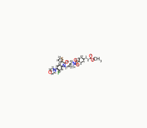 COC(=O)CCc1ccc(S(=O)(=O)N2CC3C(CN(C(=O)c4cccs4)c4ccc(N5CCOCC5)c(F)c4)C3C2)cc1